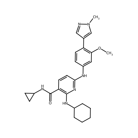 COc1cc(Nc2ccc(C(=O)NC3CC3)c(NC3CCCCC3)n2)ccc1-c1cnn(C)c1